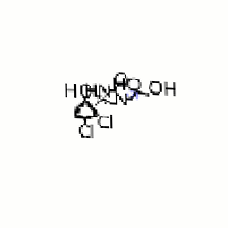 O=C1N[C@@H](c2c(O)ccc(Cl)c2Cl)CN1/C=C(\O)CO